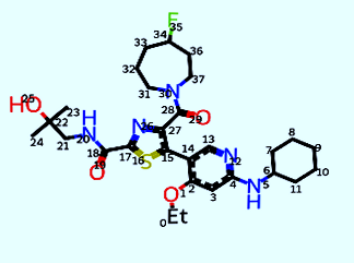 CCOc1cc(NC2CCCCC2)ncc1-c1sc(C(=O)NCC(C)(C)O)nc1C(=O)N1CCCC(F)CC1